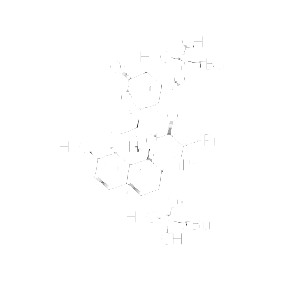 CC(C)C(C(=O)O[C@H]1C[C@H](O[Si](C)(C)C(C)(C)C)C=C2C=C[C@@H](C)[C@H](CC[C@@H]3C[C@@H](O[Si](C)(C)C(C)(C)C)CC(=O)O3)[C@H]21)C(C)C